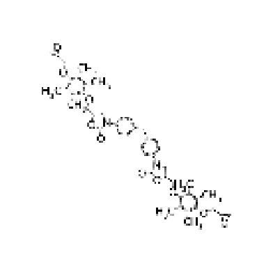 Cc1c(C)c(OCC2CN(c3ccc(Cc4ccc(N5CC(COc6c(C)c(C)c(OCC7CO7)c(C)c6C)OC5=O)cc4)cc3)C(=O)O2)c(C)c(C)c1OCC1CO1